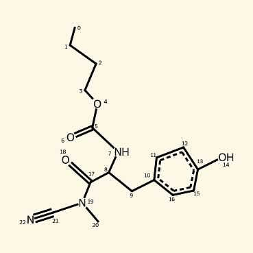 CCCCOC(=O)NC(Cc1ccc(O)cc1)C(=O)N(C)C#N